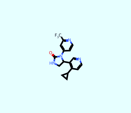 O=C1NCC(c2cnccc2C2CC2)N1c1ccnc(C(F)(F)F)c1